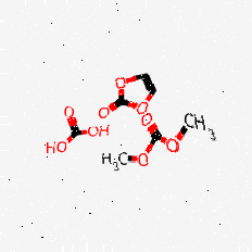 COC(=O)OC.O=C(O)O.O=c1occo1